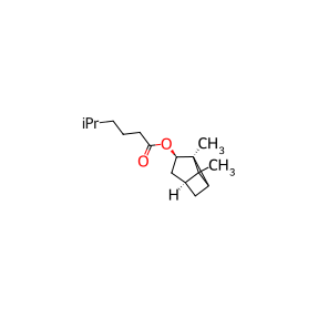 CC(C)CCCC(=O)O[C@@H]1C[C@@H]2CC3C2(C)[C@]31C